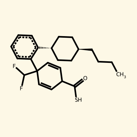 CCCC[C@H]1CC[C@H](c2ccccc2C2(C(F)F)C=CC(C(=O)S)C=C2)CC1